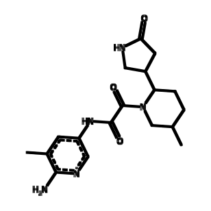 Cc1cc(NC(=O)C(=O)N2CC(C)CCC2C2CNC(=O)C2)cnc1N